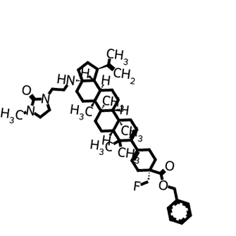 C=C(C)[C@@H]1CC[C@]2(NCCN3CCN(C)C3=O)CC[C@]3(C)[C@H](CC[C@@H]4[C@@]5(C)CC=C(C6=CC[C@](CF)(C(=O)OCc7ccccc7)CC6)C(C)(C)[C@@H]5CC[C@]43C)[C@@H]12